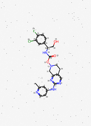 Cc1cc(Nc2ncc3c(n2)CN(OC(=O)N[C@H](CO)c2ccc(F)c(Cl)c2)CC3)ccn1